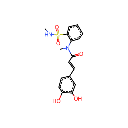 CNS(=O)(=O)c1ccccc1N(C)C(=O)C=Cc1ccc(O)c(O)c1